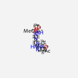 COCP(=O)(N[C@@H](C)C(=O)OC(C)C)N1CCN(c2ccc(Nc3ncc4c(C)c(C(C)=O)c(=O)n(C5CCCC5)c4n3)nc2)CC1